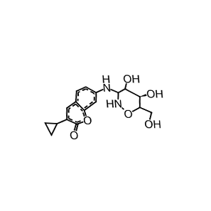 O=c1oc2cc(NC3NOC(CO)[C@H](O)C3O)ccc2cc1C1CC1